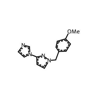 COc1ccc(Cn2ccc(-n3ccnc3)n2)cc1